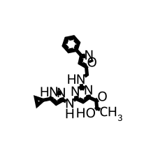 CC(O)C(=O)c1cc(Nc2cc(C3CC3)[nH]n2)nc(NCc2cc(-c3ccccc3)no2)n1